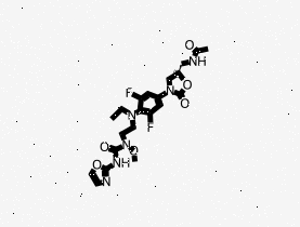 CCN(CCN(OC)C(=O)Nc1ncco1)c1c(F)cc(N2C[C@H](CNC(C)=O)OC2=O)cc1F